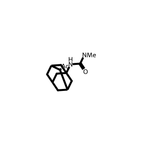 CNC(=O)NC12CC3CC(C1)C(C(C)=O)C(C3)C2